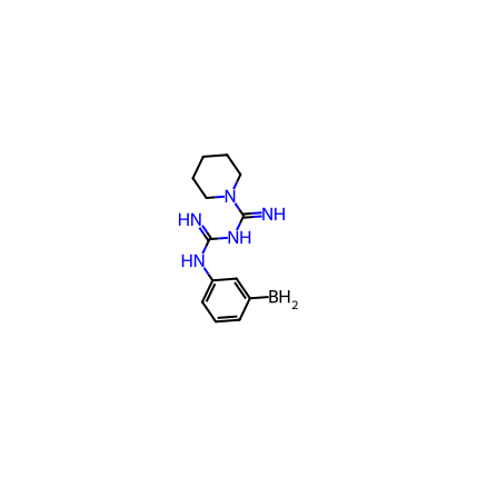 Bc1cccc(NC(=N)NC(=N)N2CCCCC2)c1